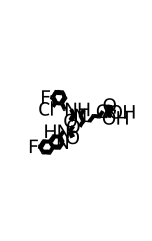 CN(C(=O)NCc1cccc(F)c1Cl)[C@@H](CCCOP(=O)(O)O)COC(=O)Nc1cc2cc(F)ccc2cn1